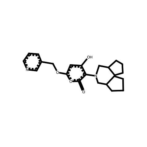 O=c1oc(OCc2cccnc2)cc(O)c1N(CC1CCCC1)CC1CCCC1